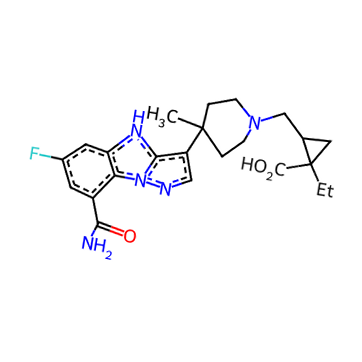 CCC1(C(=O)O)CC1CN1CCC(C)(c2cnn3c2[nH]c2cc(F)cc(C(N)=O)c23)CC1